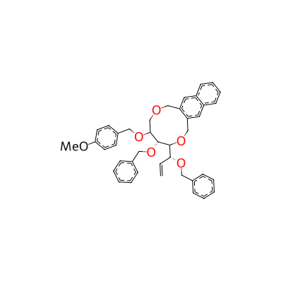 C=C[C@@H](OCc1ccccc1)C1OCc2cc3ccccc3cc2COCC(OCc2ccc(OC)cc2)[C@H]1OCc1ccccc1